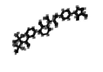 [2H]C([2H])([2H])N(C(=O)c1cccc(N2CCO[C@H]([C@@H](O)C(=O)Nc3ccc(-c4noc(=O)[nH]4)cc3)C2=O)c1)C([2H])([2H])[2H]